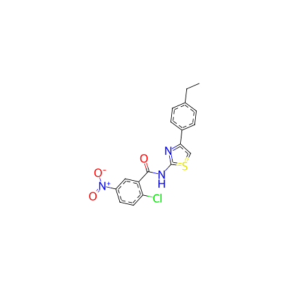 CCc1ccc(-c2csc(NC(=O)c3cc([N+](=O)[O-])ccc3Cl)n2)cc1